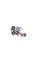 C[C@@H](N1CN([C@H]2c3ccccc3CSc3ccccc32)n2ccc(=O)c(OCOC(=O)N3CCCC3)c2C1=O)C(F)(F)F